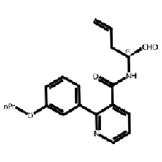 C=CC[C@@H](C=O)NC(=O)c1cccnc1-c1cccc(OCCC)c1